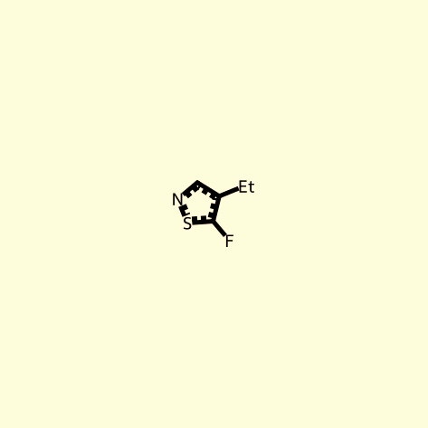 CCc1cnsc1F